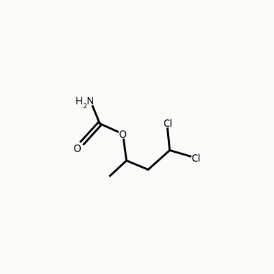 CC(CC(Cl)Cl)OC(N)=O